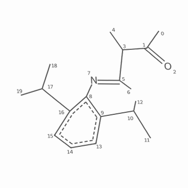 CC(=O)C(C)/C(C)=N/c1c(C(C)C)cccc1C(C)C